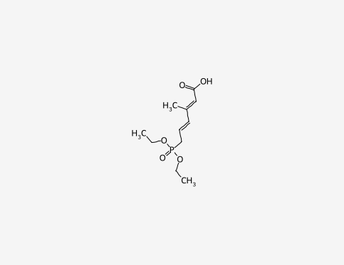 CCOP(=O)(C/C=C/C(C)=C/C(=O)O)OCC